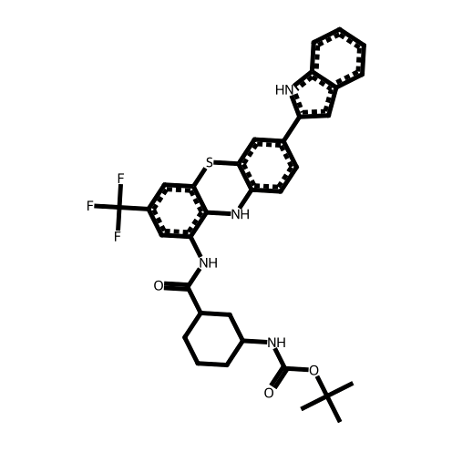 CC(C)(C)OC(=O)NC1CCCC(C(=O)Nc2cc(C(F)(F)F)cc3c2Nc2ccc(-c4cc5ccccc5[nH]4)cc2S3)C1